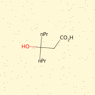 CCCC(O)(CCC)CC(=O)O